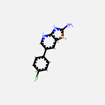 Nc1nc2ncc(-c3ccc(Cl)cc3)cc2s1